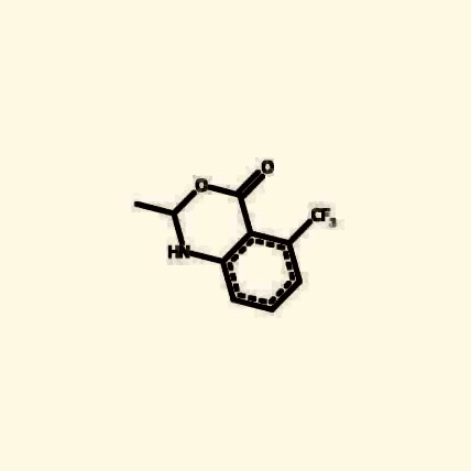 CC1Nc2cccc(C(F)(F)F)c2C(=O)O1